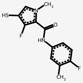 Cc1cc(NC(=O)c2c(F)c(S)cn2C)ccc1F